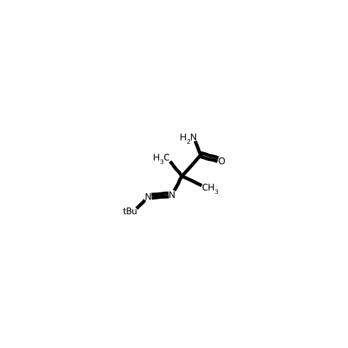 CC(C)(C)N=NC(C)(C)C(N)=O